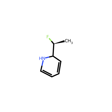 C[C@H](F)C1C=CC=CN1